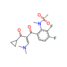 CN(C)C=C(C(=O)c1ccc(F)c(F)c1N(C)S(C)(=O)=O)C(=O)C1CC1